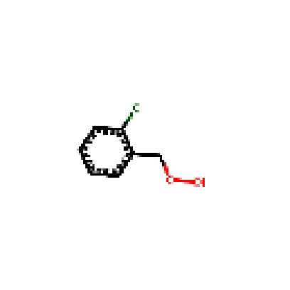 OOCc1ccccc1Cl